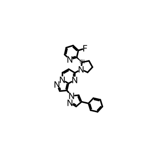 Fc1cccnc1[C@H]1CCCN1c1ccn2ncc(-n3cc(-c4ccccc4)cn3)c2n1